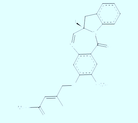 COC(=O)/C=C(\C)COc1cc2c(cc1OC)C(=O)N1c3ccccc3C[C@H]1C=N2